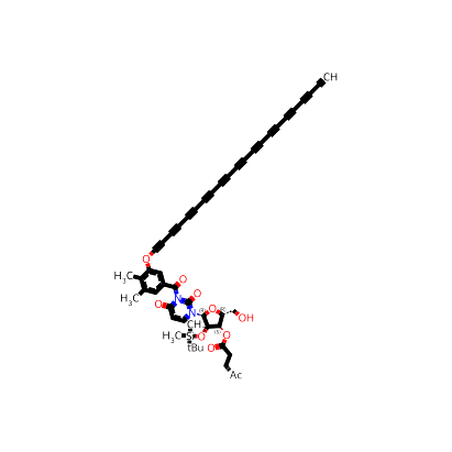 C#CC#CC#CC#CC#CC#CC#CC#CC#CC#CC#COc1cc(C(=O)n2c(=O)ccn([C@@H]3O[C@H](CO)[C@H](OC(=O)CCC(C)=O)C3O[Si](C)(C)C(C)(C)C)c2=O)cc(C)c1C